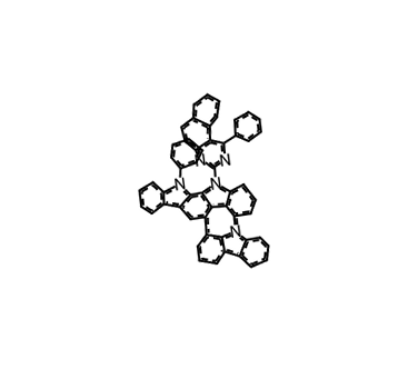 c1ccc(-c2nc(-n3c4cccc5c4c4c(cc6c7ccccc7n(-c7ccccc7)c6c43)c3cccc4c6ccccc6n5c34)nc3ccc4ccccc4c23)cc1